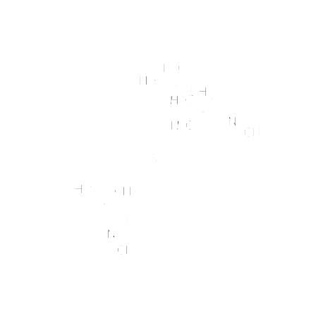 CN1C2=C(CCC=C2)C(C)(C)/C1=C\C=C1/CCCC(/C=C/C2N(C)c3ccccc3C2(C)C)=C1Sc1ccc(C(C)(C)C)cc1